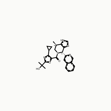 C[C@@H]1CN(C(=O)c2oc(C(C)(C)O)nc2C2CC2)[C@@H](c2cc3ccccc3cn2)c2nc[nH]c21